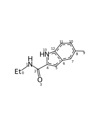 CCNC(=O)c1cc2cc(C)ccc2[nH]1